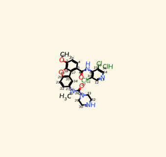 COc1ccc(C(=O)Nc2c(Cl)cncc2Cl)c2c1oc1ccc(N(C)C(=O)N3CCNCC3)cc12.Cl